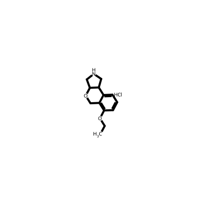 CCOc1cccc2c1COC1CNCC21.Cl